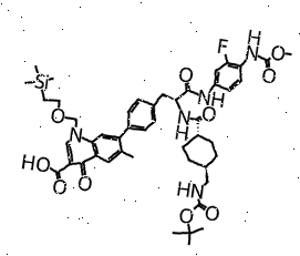 COC(=O)Nc1ccc(NC(=O)[C@H](Cc2ccc(-c3cc4c(cc3C)c(=O)c(C(=O)O)cn4COCC[Si](C)(C)C)cc2)NC(=O)[C@H]2CC[C@H](CNC(=O)OC(C)(C)C)CC2)cc1F